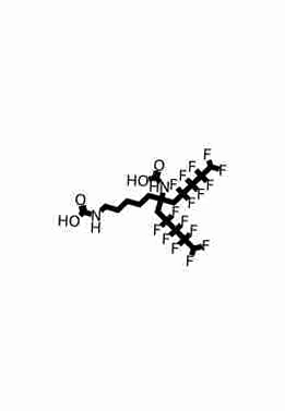 O=C(O)NCCCCCC(CC(F)(F)C(F)(F)C(F)(F)C(F)F)(CC(F)(F)C(F)(F)C(F)(F)C(F)F)NC(=O)O